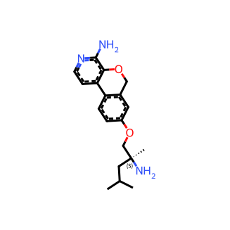 CC(C)C[C@](C)(N)COc1ccc2c(c1)COc1c-2ccnc1N